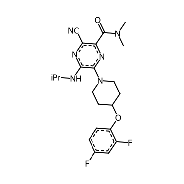 CC(C)Nc1nc(C#N)c(C(=O)N(C)C)nc1N1CCC(Oc2ccc(F)cc2F)CC1